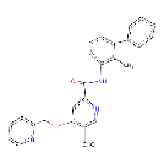 Cc1c(NC(=O)c2cc(OCc3ccccn3)c(C=O)cn2)cccc1-c1ccccc1